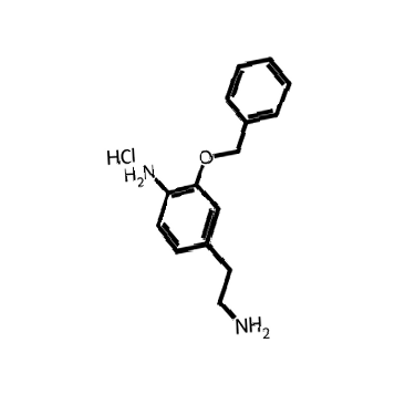 Cl.NCCc1ccc(N)c(OCc2ccccc2)c1